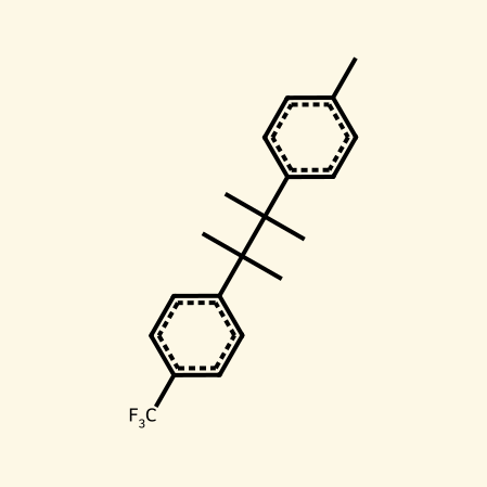 Cc1ccc(C(C)(C)C(C)(C)c2ccc(C(F)(F)F)cc2)cc1